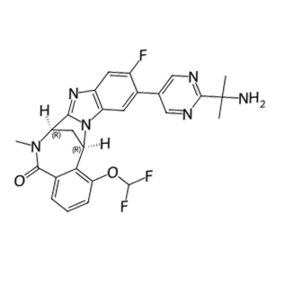 CN1C(=O)c2cccc(OC(F)F)c2[C@H]2C[C@@H]1c1nc3cc(F)c(-c4cnc(C(C)(C)N)nc4)cc3n12